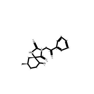 CC(C)C1CC[C@@H](C)C[C@]12NC(=O)N(CC(=O)c1ccccc1)C2=O